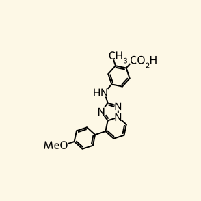 COc1ccc(-c2cccn3nc(Nc4ccc(C(=O)O)c(C)c4)nc23)cc1